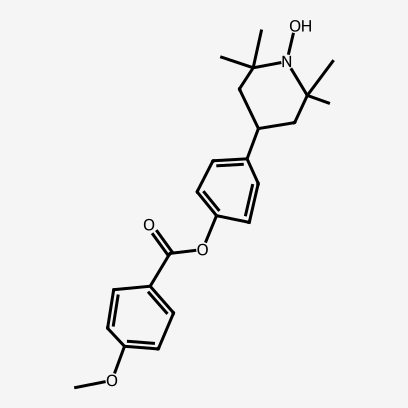 COc1ccc(C(=O)Oc2ccc(C3CC(C)(C)N(O)C(C)(C)C3)cc2)cc1